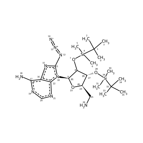 CC(C)(C)[Si](C)(C)OC1[C@H](n2c(N=[N+]=[N-])nc3c(N)ncnc32)O[C@H](CN)[C@H]1O[Si](C)(C)C(C)(C)C